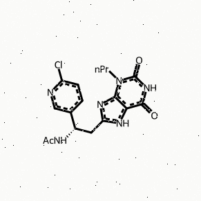 CCCn1c(=O)[nH]c(=O)c2[nH]c(C[C@H](NC(C)=O)c3ccc(Cl)nc3)nc21